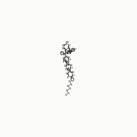 CCCCCCCOc1ccc(N2CCN(c3ccc(C(=O)n4n[n+]([O-])c5ccccc54)cn3)CC2)cc1